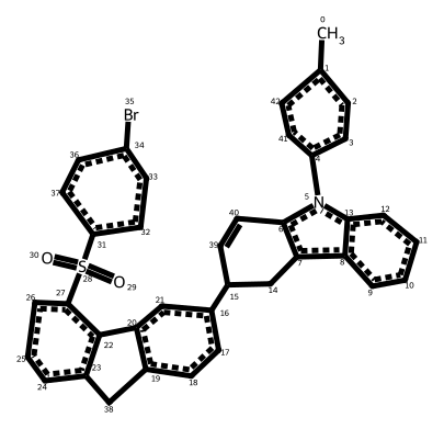 Cc1ccc(-n2c3c(c4ccccc42)CC(c2ccc4c(c2)-c2c(cccc2S(=O)(=O)c2ccc(Br)cc2)C4)C=C3)cc1